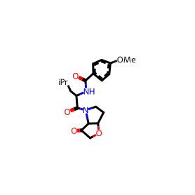 COc1ccc(C(=O)NC(CC(C)C)C(=O)N2CCC3OCC(=O)C32)cc1